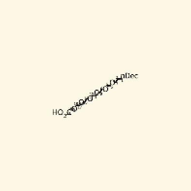 CCCCCCCCCCCCCOCCOCCOCCOCCOCCOCC(=O)O